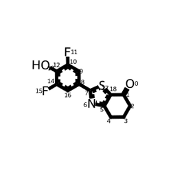 O=C1CCCc2nc(-c3cc(F)c(O)c(F)c3)sc21